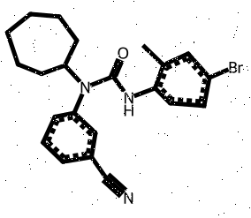 Cc1cc(Br)ccc1NC(=O)N(c1cccc(C#N)c1)C1CCCCCC1